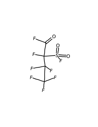 O=C(F)C(F)(C(F)(F)C(F)(F)F)S(=O)(=O)F